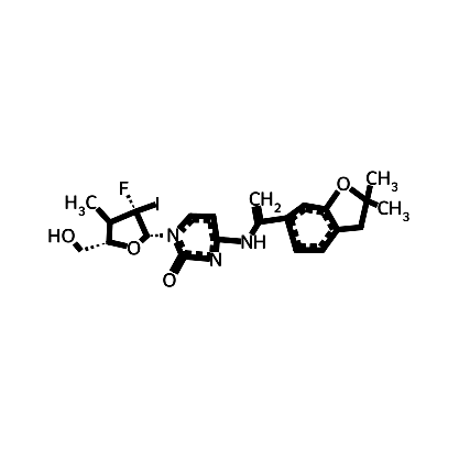 C=C(Nc1ccn([C@@H]2O[C@H](CO)C(C)[C@@]2(F)I)c(=O)n1)c1ccc2c(c1)OC(C)(C)C2